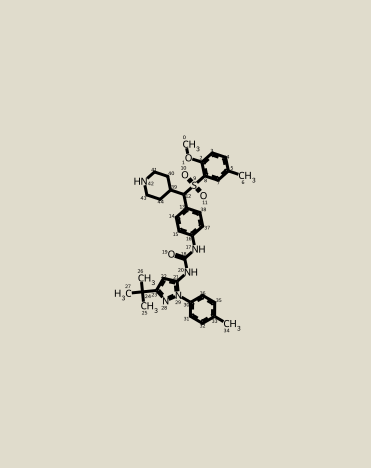 COc1ccc(C)cc1S(=O)(=O)C(c1ccc(NC(=O)Nc2cc(C(C)(C)C)nn2-c2ccc(C)cc2)cc1)C1CCNCC1